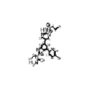 C=CCS(=O)(=O)Nc1ncc(-c2cc(-c3ccc(C)cn3)c3sc(N(CC)C(N)=O)nc3c2)cn1